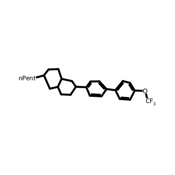 CCCCCC1CCC2CC(c3ccc(-c4ccc(OC(F)(F)F)cc4)cc3)CCC2C1